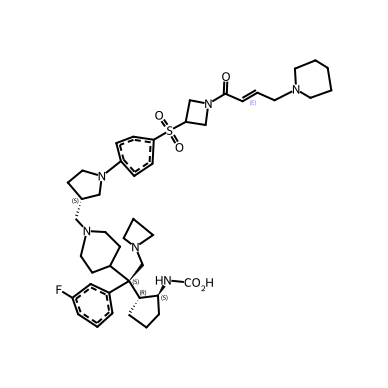 O=C(O)N[C@H]1CCC[C@@H]1[C@](CN1CCC1)(c1cccc(F)c1)C1CCN(C[C@@H]2CCN(c3ccc(S(=O)(=O)C4CN(C(=O)/C=C/CN5CCCCC5)C4)cc3)C2)CC1